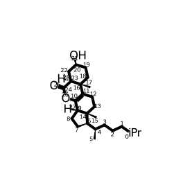 CC(C)CCC[C@@H](C)[C@H]1CC[C@@H]2C3=C(CC[C@@]21C)[C@@]1(C)CC[C@H](O)C[C@@H]1C(=O)O3